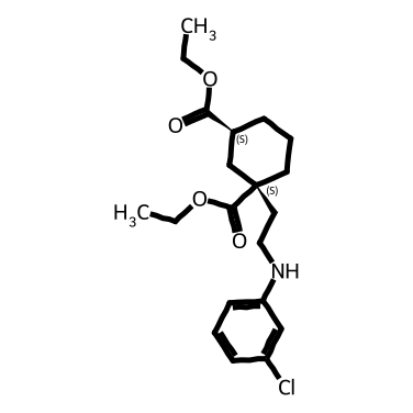 CCOC(=O)[C@H]1CCC[C@](CCNc2cccc(Cl)c2)(C(=O)OCC)C1